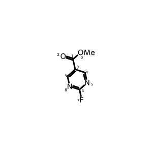 COC(=O)c1[c]nc(F)nc1